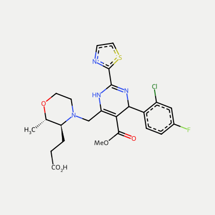 COC(=O)C1=C(CN2CCO[C@@H](C)[C@@H]2CCC(=O)O)NC(c2nccs2)=NC1c1ccc(F)cc1Cl